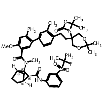 COc1cc(P)c(-c2ccc(CCC3(N4C(=O)OC4(C)C)COC(C)(C)OC3)c(C)c2)cc1C(=O)N(C)[C@@H]1[C@H]2CC[C@@H](C2)[C@@H]1C(=O)Nc1cccc(S(=O)(=O)C(C)(F)P)c1